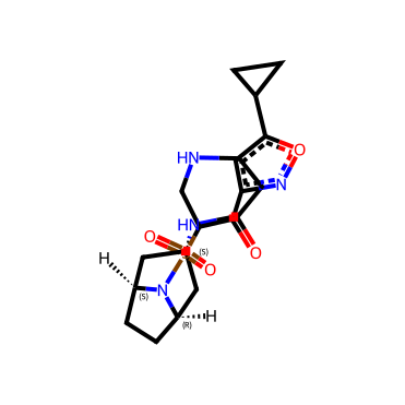 O=C(N[C@@H]1C[C@H]2CC[C@@H](C1)N2S(=O)(=O)C1CCCNC1)c1cc(C2CC2)on1